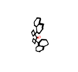 O=C(C1(C2CCCC3CCCCC32)CCC1)C1(C2CCCC3CCCCC32)CCC1